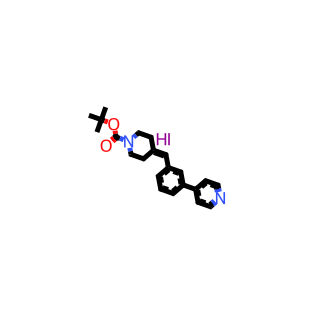 CC(C)(C)OC(=O)N1CCC(=Cc2cccc(-c3ccncc3)c2)CC1.I